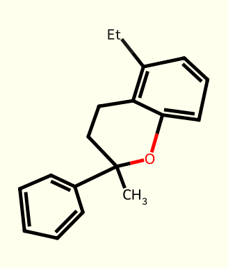 CCc1cccc2c1CCC(C)(c1ccccc1)O2